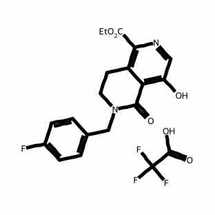 CCOC(=O)c1ncc(O)c2c1CCN(Cc1ccc(F)cc1)C2=O.O=C(O)C(F)(F)F